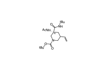 C=CC1CN(C(=O)OC(C)(C)C)C[C@@](NC(C)=O)(C(=O)NC(C)(C)C)C1